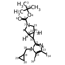 CC(C)(C)OC(=O)N1C[C@@H]2C(c3nc(I)c(I)n3CC3CC3)[C@@H]2C1